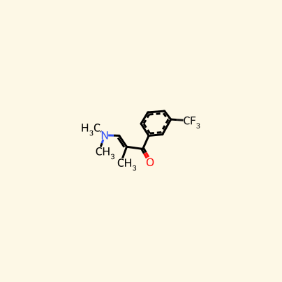 CC(=CN(C)C)C(=O)c1cccc(C(F)(F)F)c1